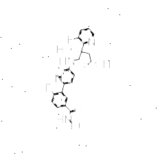 CCNC(=O)c1ccc(F)c(-c2ccc(NC[C@](C)(C[C@H](C)F)c3ncccc3F)nn2)c1